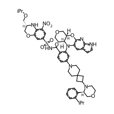 CC(C)OC[C@H]1COc2cc(S(=O)(=O)NC(=O)c3ccc(N4CCC5(CC4)CC(N4CCOC[C@H]4c4ccccc4C(C)C)C5)cc3N3c4cc5cc[nH]c5nc4O[C@H]4COCC[C@@H]43)cc([N+](=O)[O-])c2N1